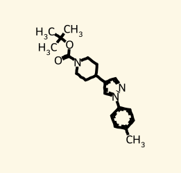 Cc1ccc(-n2cc(C3CCN(C(=O)OC(C)(C)C)CC3)cn2)cc1